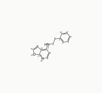 c1ccc(CCNc2ccnc3occc23)cc1